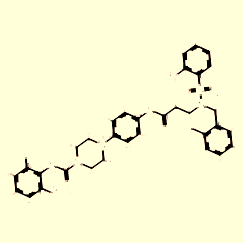 O=C(CCN(Cc1ccccc1Cl)S(=O)(=O)c1ccccc1[N+](=O)[O-])Nc1ccc(N2CCN(C(=O)Nc3c(Cl)cccc3Cl)CC2)cc1